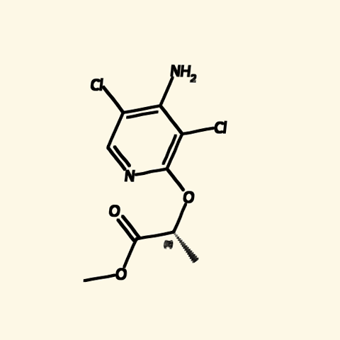 COC(=O)[C@@H](C)Oc1ncc(Cl)c(N)c1Cl